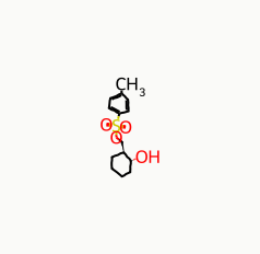 Cc1ccc(S(=O)(=O)OC[C@@H]2CCCC[C@H]2O)cc1